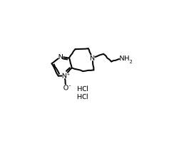 Cl.Cl.NCCN1CCc2ncc[n+]([O-])c2CC1